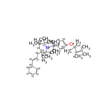 CC(C)=C(C)C(C)(C)Oc1ccc(C(C)(C)N2C(C)(C)C(C)(C)CC(C)(CC=Cc3ccccc3)C2(C)C)cc1